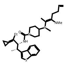 C=CCC/C(NC)=C(\C)N(C)C1CCN(C(=O)N[C@@H](C(CC)=C2CC2)[C@@H](C)c2csc3ccccc23)CC1